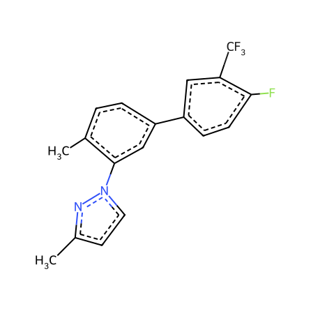 Cc1ccn(-c2cc(-c3ccc(F)c(C(F)(F)F)c3)ccc2C)n1